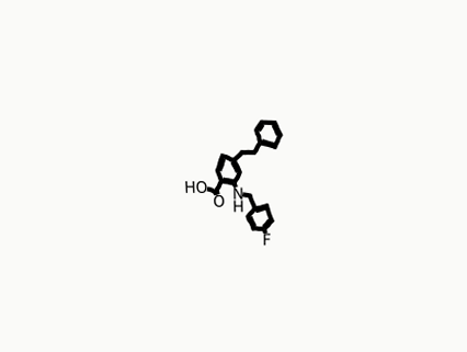 O=C(O)c1ccc(CCc2ccccc2)cc1NCc1ccc(F)cc1